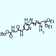 CCOP(C/C(N)=N/N=C(\N)c1ncc(NC(=O)CNC(=O)OC(C)(C)C)cn1)OCC